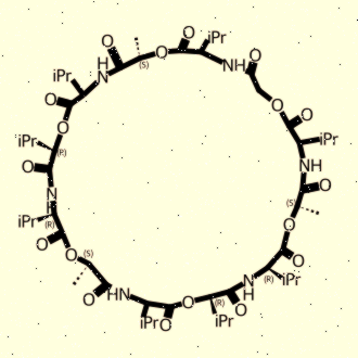 CC(C)C1NC(=O)[C@H](C)OC(=O)[C@@H](C(C)C)NC(=O)[C@@H](C(C)C)OC(=O)C(C(C)C)NC(=O)[C@H](C)OC(=O)[C@@H](C(C)C)NC(=O)[C@@H](C(C)C)OC(=O)C(C(C)C)NC(=O)[C@H](C)OC(=O)C(C(C)C)NC(=O)COC1=O